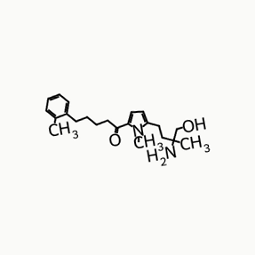 Cc1ccccc1CCCCC(=O)c1ccc(CCC(C)(N)CO)n1C